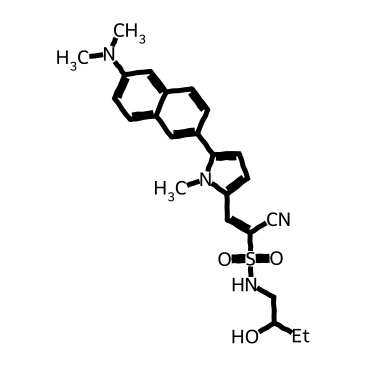 CCC(O)CNS(=O)(=O)/C(C#N)=C/c1ccc(-c2ccc3cc(N(C)C)ccc3c2)n1C